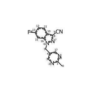 Cc1ncc(Cn2nc(C#N)c3ccc(F)cc32)cn1